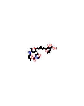 CC(/C=C/[C@H]1OC(C)(C)CC(CO)[C@@H]1O)=C\C[C@@H]1O[C@H](C)[C@H](NC(=O)/C=C\[C@H](C)OC(=O)N2CCOCC2)C[C@@H]1C